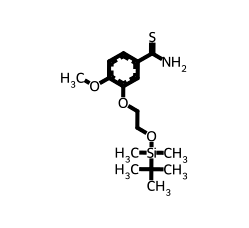 COc1ccc(C(N)=S)cc1OCCO[Si](C)(C)C(C)(C)C